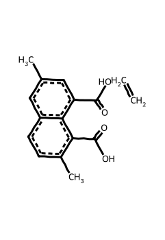 C=C.Cc1cc(C(=O)O)c2c(C(=O)O)c(C)ccc2c1